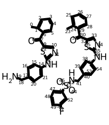 Cc1ccccc1C(=O)c1cnc(Nc2ccc(CN)cc2)s1.Cc1ccccc1C(=O)c1cnc(Nc2ccc(CNS(=O)(=O)c3cccc(F)c3)cc2)s1